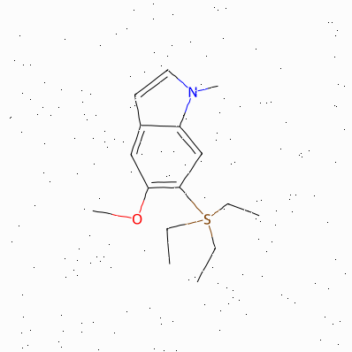 CCS(CC)(CC)c1cc2c(ccn2C)cc1OC